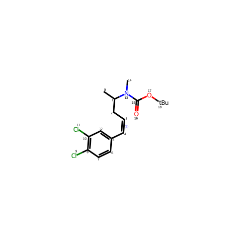 CC(C/C=C\c1ccc(Cl)c(Cl)c1)N(C)C(=O)OC(C)(C)C